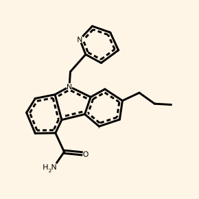 CCCc1c[c]c2c3c(C(N)=O)cccc3n(Cc3ccccn3)c2c1